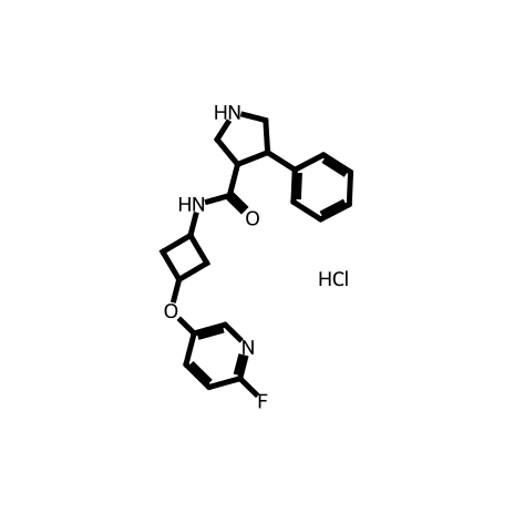 Cl.O=C(NC1CC(Oc2ccc(F)nc2)C1)C1CNCC1c1ccccc1